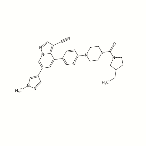 CCC1CCN(C(=O)N2CCN(c3ccc(-c4cc(-c5cnn(C)c5)cn5ncc(C#N)c45)cn3)CC2)C1